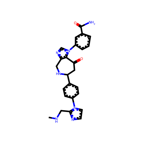 CNCc1nccn1-c1ccc(C2CC(=O)c3c(ncn3-c3cccc(C(N)=O)c3)CN2)cc1